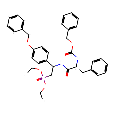 CCOP(=O)(CC(NC(=O)[C@H](Cc1ccccc1)NC(=O)OCc1ccccc1)c1ccc(OCc2ccccc2)cc1)OCC